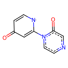 O=C1C=C[N]C(n2ccncc2=O)=C1